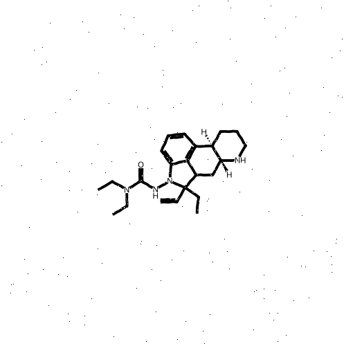 C=CC1(CC)C2C[C@H]3NCCC[C@@H]3c3cccc(c32)N1NC(=O)N(CC)CC